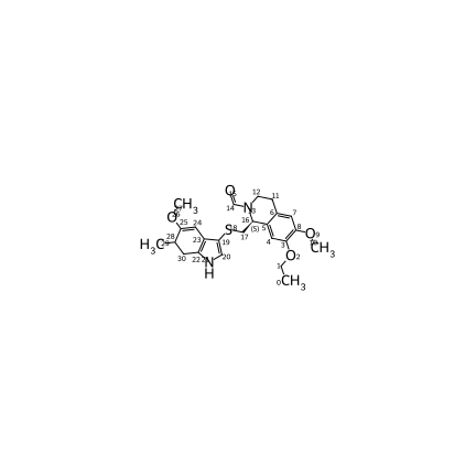 CCOc1cc2c(cc1OC)CCN(C=O)[C@@H]2CSc1c[nH]c2c1C=C(OC)C(C)C2